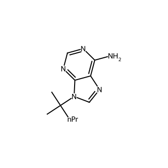 CCCC(C)(C)n1cnc2c(N)ncnc21